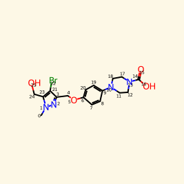 Cn1nc(COc2ccc(N3CCN(C(=O)O)CC3)cc2)c(Br)c1CO